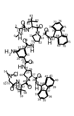 CN[C@@H](C)C(=O)N[C@H](C(=O)N1C[C@@H](NC(=O)c2cc(N)cc(C(=O)N[C@H]3C[C@@H](C(=O)NC4c5ccccc5-c5ccccc54)N(C(=O)[C@@H](NC(=O)[C@H](C)N(C)Cl)C(C)(C)C)C3)c2)C[C@H]1C(=O)NC1c2ccccc2-c2ccccc21)C(C)(C)C